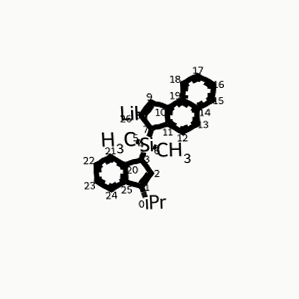 CC(C)C1=CC([Si](C)(C)C2C=Cc3c2ccc2ccccc32)c2ccccc21.[LiH]